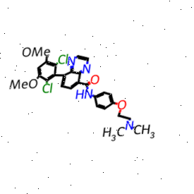 COc1cc(OC)c(Cl)c(-c2ccc(C(=O)Nc3ccc(OCCN(C)C)cc3)c3nccnc23)c1Cl